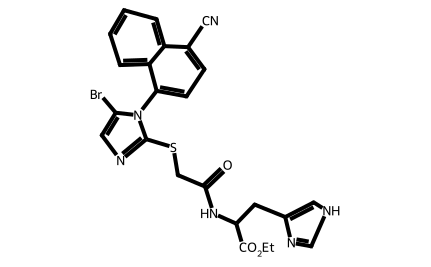 CCOC(=O)C(Cc1c[nH]cn1)NC(=O)CSc1ncc(Br)n1-c1ccc(C#N)c2ccccc12